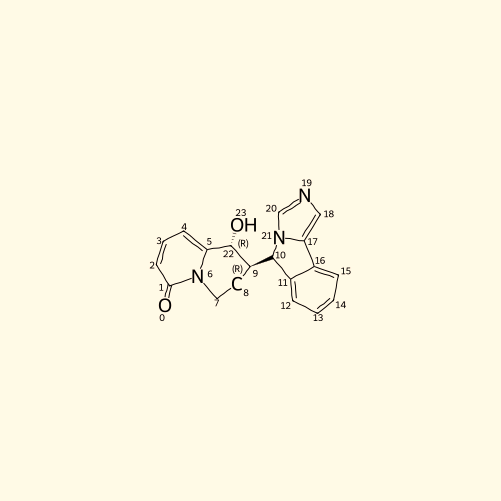 O=c1cccc2n1CC[C@H](C1c3ccccc3-c3cncn31)[C@H]2O